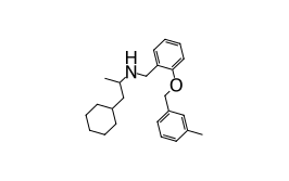 Cc1cccc(COc2ccccc2CNC(C)CC2CCCCC2)c1